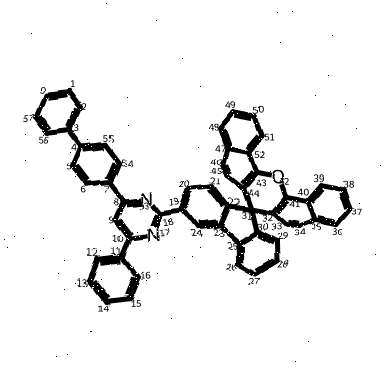 c1ccc(-c2ccc(-c3cc(-c4ccccc4)nc(-c4ccc5c(c4)-c4ccccc4C54c5ccc6ccccc6c5Oc5c4ccc4ccccc54)n3)cc2)cc1